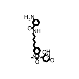 Cn1c(=O)n(C2CCC(=O)NC2=O)c2ccc(CCCCCNC(=O)c3cccc(N)c3)cc21